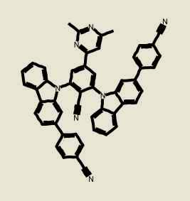 Cc1cc(-c2cc(-n3c4ccccc4c4ccc(-c5ccc(C#N)cc5)cc43)c(C#N)c(-n3c4ccccc4c4ccc(-c5ccc(C#N)cc5)cc43)c2)nc(C)n1